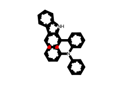 c1ccc(N(c2ccccc2)c2ccccc2-c2cccc3c2[nH]c2ccccc23)cc1